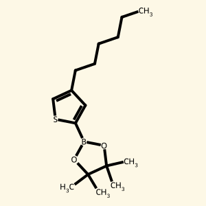 CCCCCCc1csc(B2OC(C)(C)C(C)(C)O2)c1